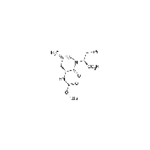 C=CC[C@H](NC(=O)OC(C)(C)C)C(=O)N(C)[C@@H](CC(C)C)C(=O)O